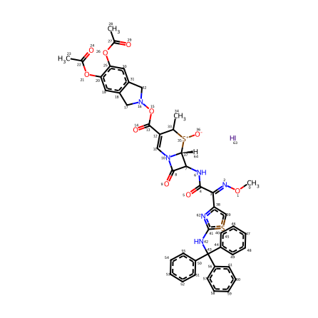 CON=C(C(=O)NC1C(=O)N2C=C(C(=O)ON3Cc4cc(OC(C)=O)c(OC(C)=O)cc4C3)C(C)[S+]([O-])[C@H]12)c1csc(NC(c2ccccc2)(c2ccccc2)c2ccccc2)n1.I